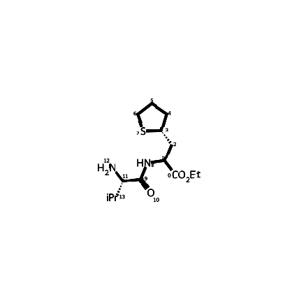 CCOC(=O)C(C[C@H]1CCCS1)NC(=O)[C@@H](N)C(C)C